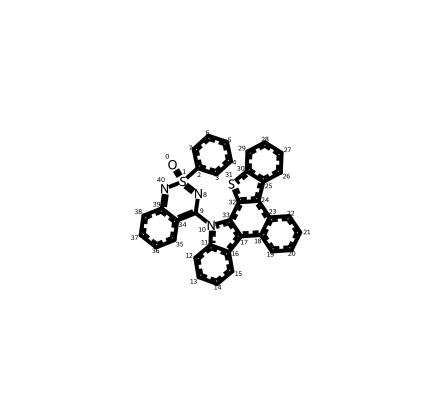 O=S1(c2ccccc2)=NC(n2c3ccccc3c3c4ccccc4c4c5ccccc5sc4c32)=c2ccccc2=N1